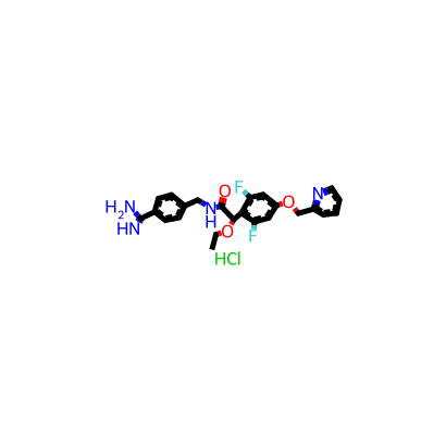 CCOC(C(=O)NCc1ccc(C(=N)N)cc1)c1c(F)cc(OCc2ccccn2)cc1F.Cl